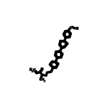 C=CC(=O)N(C)CCCc1ccc(-c2ccc(-c3ccc(-c4ccc(CCCCC)cc4)cc3)cc2)cc1